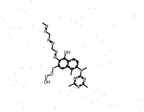 CN=NCN=NCN=Nc1c(SOOO)cc2c(C)c(N(C)c3nc(C)nc(C)n3)ccc2c1O